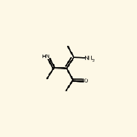 CC(=N)/C(C(C)=O)=C(\C)N